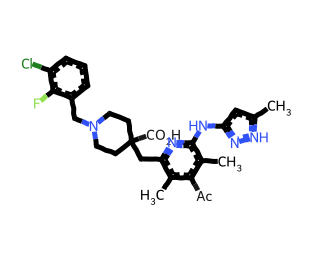 CC(=O)c1c(C)c(CC2(C(=O)O)CCN(Cc3cccc(Cl)c3F)CC2)nc(Nc2cc(C)[nH]n2)c1C